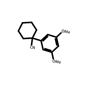 COc1cc(OC)cc(C2(C#N)CCCCC2)c1